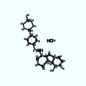 Cc1nnc2sc3c(NCc4ccc(N5CCN(C)CC5)cc4)ncnc3c2c1C.Cl